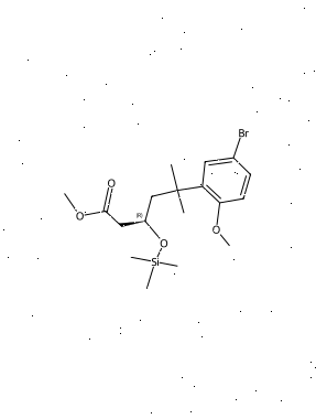 COC(=O)C[C@@H](CC(C)(C)c1cc(Br)ccc1OC)O[Si](C)(C)C